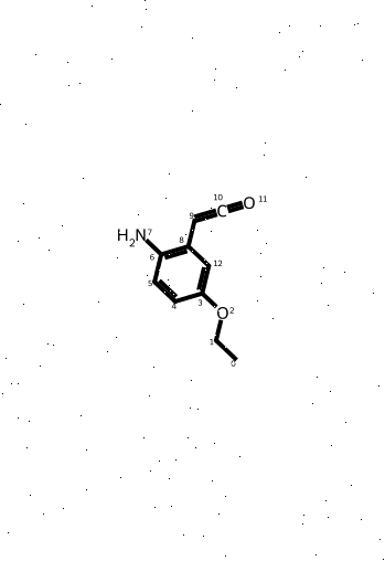 CCOc1ccc(N)c(C=C=O)c1